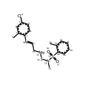 Cc1cc(Cl)ccc1N=CCNSN(C)S(=O)(=O)c1ccccc1C